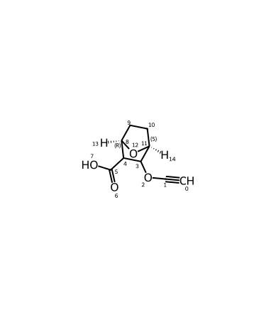 C#COC1C(C(=O)O)[C@H]2CC[C@@H]1O2